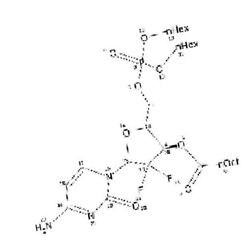 CCCCCCCCC(=O)O[C@@H]1C(COP(=O)(OCCCCCC)OCCCCCC)OC(n2ccc(N)nc2=O)C1(F)F